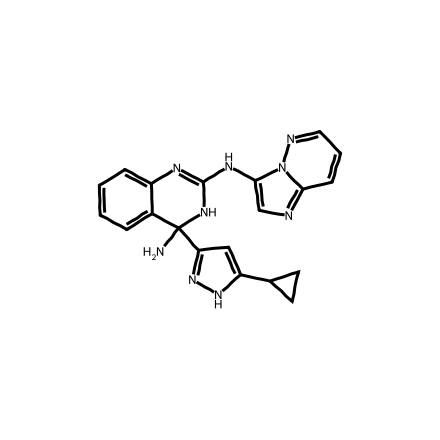 NC1(c2cc(C3CC3)[nH]n2)NC(Nc2cnc3cccnn23)=Nc2ccccc21